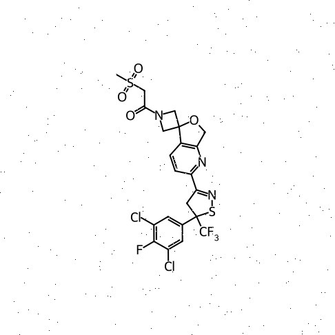 CS(=O)(=O)CC(=O)N1CC2(C1)OCc1nc(C3=NSC(c4cc(Cl)c(F)c(Cl)c4)(C(F)(F)F)C3)ccc12